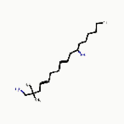 CCCCCCC(N)C/C=C/CC/C=C/CC(C)(C)CN